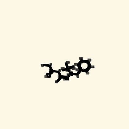 CCC(=O)CC(C)=NN(Cc1ccccc1)[Si](C)(C)C